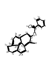 Cc1c(OC(=O)c2ccccc2)cc2ccc3cccc4ccc1c2c34